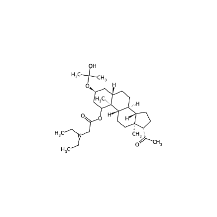 CCN(CC)CC(=O)OC1C[C@@H](OC(C)(C)O)C[C@@H]2CC[C@H]3[C@@H]4CC[C@H](C(C)=O)[C@@]4(C)CC[C@@H]3[C@@]12C